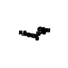 COc1ccc(N2CCN(C(=O)c3cc4cc(S(=O)(=O)O)c5ccccc5c4s3)CC2)cc1